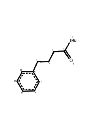 CC(C)(C)C(=O)CCCc1ccccc1